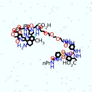 CCCNC(=O)Nc1cccc(S(=O)(=O)Nc2cccc(C(CC(=O)O)NC(=O)Nc3ccc(NC(=O)NCCOCCOCCOCCC(=O)NC(CC(=O)O)C(=O)N4CCCC4C(=O)NC(C(=O)OC4(CC)C(=O)OCc5c4cc4n(c5=O)Cc5c-4nc4cc(F)c(C)c6c4c5C(N)CC6)C(C)C)cc3)c2)c1